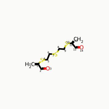 C=C(C=O)SCCSCCSC(=C)C=O